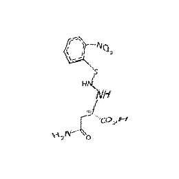 NC(=O)C[C@H](NNSc1ccccc1[N+](=O)[O-])C(=O)O